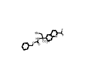 CC(C)(C)C[C@](NC(=O)OCc1ccccc1)(C(=O)O)c1ccc2nc(C(F)F)ccc2c1